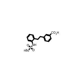 CCCCS(=O)(=O)Nc1ccccc1CCc1cccc(C(=O)O)c1